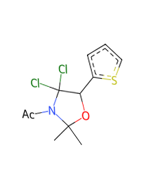 CC(=O)N1C(C)(C)OC(c2cccs2)C1(Cl)Cl